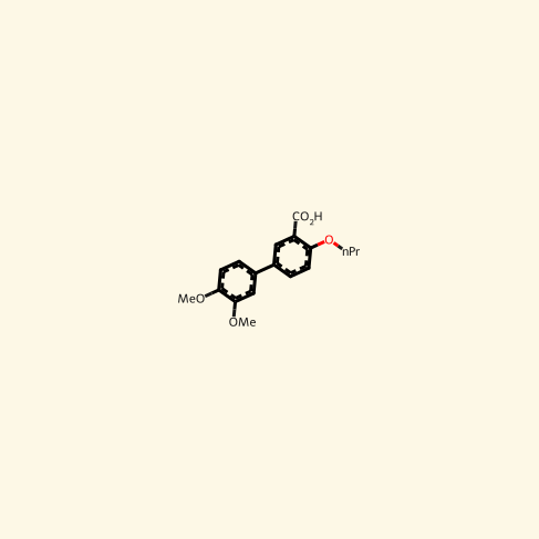 CCCOc1ccc(-c2ccc(OC)c(OC)c2)cc1C(=O)O